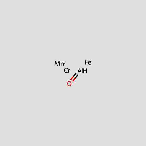 [Cr].[Fe].[Mn].[O]=[AlH]